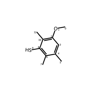 COc1cc(C)c(C)c(S)c1C